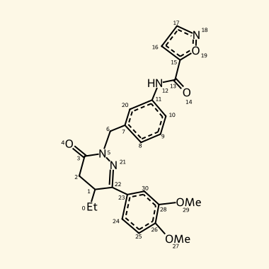 CCC1CC(=O)N(Cc2cccc(NC(=O)c3ccno3)c2)N=C1c1ccc(OC)c(OC)c1